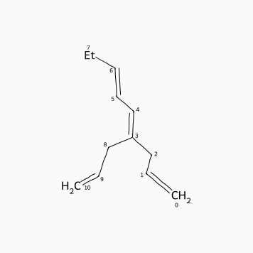 C=CCC(=C/C=C/CC)CC=C